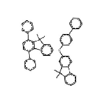 CC1(C)c2ccccc2-c2ccc(N(c3ccc(-c4ccccc4)cc3)c3ccc4c(c3)C(C)(C)c3c(-c5ccccc5)ccc(-c5ccccc5)c3-4)cc21